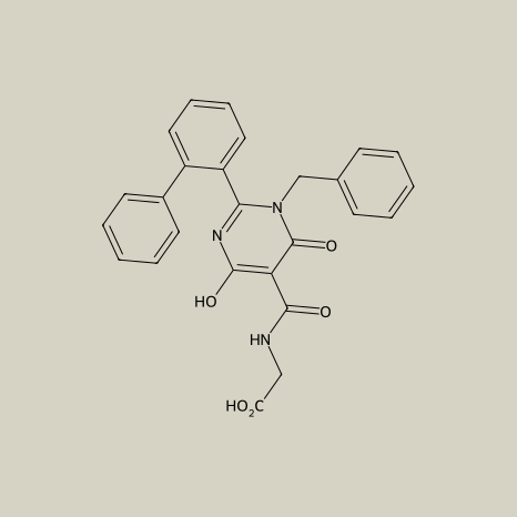 O=C(O)CNC(=O)c1c(O)nc(-c2ccccc2-c2ccccc2)n(Cc2ccccc2)c1=O